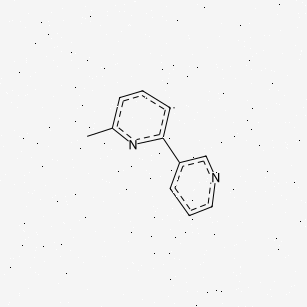 Cc1cc[c]c(-c2cccnc2)n1